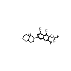 C[C@@H]1CC[C@@H]2CC(c3cc(F)c4c(F)c(OC(F)F)c(F)cc4c3)CCC2C1